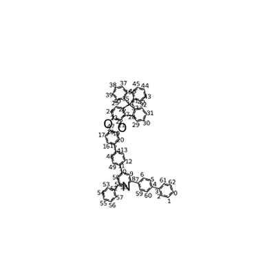 c1ccc(-c2ccc(-c3cc(-c4ccc(-c5ccc6c(c5)Oc5c(ccc7c5-c5ccccc5C7(c5ccccc5)c5ccccc5)O6)cc4)cc(-c4ccccc4)n3)cc2)cc1